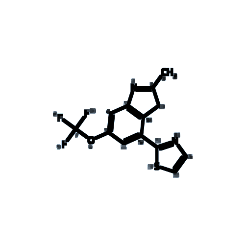 CC1=Nc2cc(OC(F)(F)F)cc(-c3nccs3)c2C1